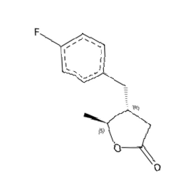 C[C@@H]1OC(=O)C[C@H]1Cc1ccc(F)cc1